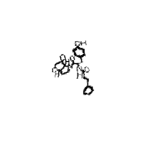 O=C(CCc1ccccc1)N[C@@H](Cc1ccc(O)cc1)C(=O)N1CC[C@H]2OCC(=O)[C@H]21